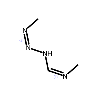 C/N=C\N/N=N\C